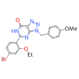 CCOc1cc(Br)ccc1-c1nc2c(nnn2Cc2ccc(OC)cc2)c(=O)[nH]1